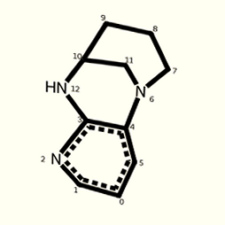 c1cnc2c(c1)N1CCCC(C1)N2